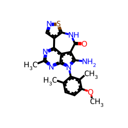 COc1ccc(C)c(-n2c(N)c3c4c(nc(C)nc42)-c2cnsc2NC3=O)c1C